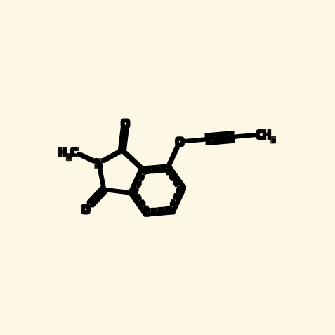 CC#COc1cccc2c1C(=O)N(C)C2=O